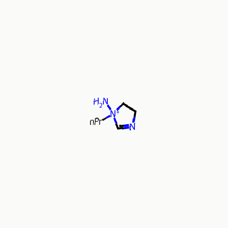 CCC[N+]1(N)C=NCC1